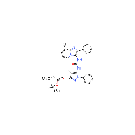 COC[C@H](COc1nn(-c2ccccc2)c(NC(=O)Nc2c(-c3ccccc3)nc3c(C(F)(F)F)cccn23)c1C)O[Si](C)(C)C(C)(C)C